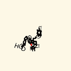 Cc1cc(OCCCc2c3n(c4c(-c5c(C)ncnc5C)c(Cl)ccc24)[C@H](C)CN(c2cccc4cc(C(=O)O)ccc24)C3=O)cc(C)c1Cl